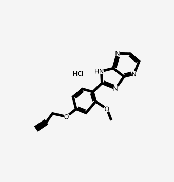 C#CCOc1ccc(-c2nc3nccnc3[nH]2)c(OC)c1.Cl